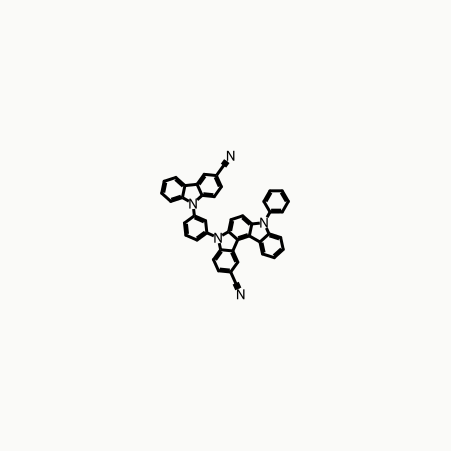 N#Cc1ccc2c(c1)c1ccccc1n2-c1cccc(-n2c3ccc(C#N)cc3c3c4c5ccccc5n(-c5ccccc5)c4ccc32)c1